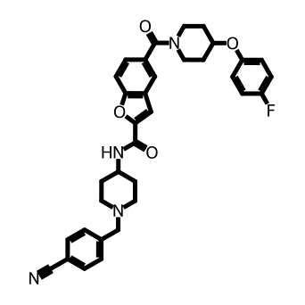 N#Cc1ccc(CN2CCC(NC(=O)c3cc4cc(C(=O)N5CCC(Oc6ccc(F)cc6)CC5)ccc4o3)CC2)cc1